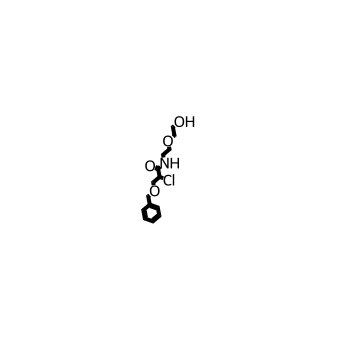 O=C(NCCOCCO)C(Cl)COCc1ccccc1